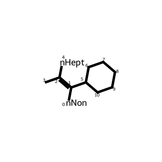 CCCCCCCCC/C(=C(\C)CCCCCCC)C1CCCCC1